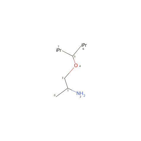 CC(N)COC(C(C)C)C(C)C